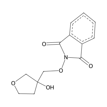 O=C1c2ccccc2C(=O)N1OCC1(O)CCOC1